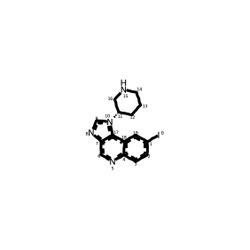 Ic1ccc2ncc3ncn([C@H]4CCCNC4)c3c2c1